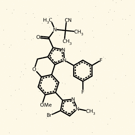 COc1cc2c(cc1-c1nn(C)cc1Br)-c1c(c(C(=O)N(C)C(C)(C)C#N)nn1-c1cc(F)cc(F)c1)CO2